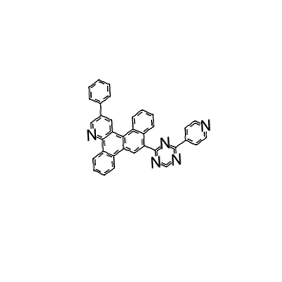 c1ccc(-c2cnc3c4ccccc4c4cc(-c5ncnc(-c6ccncc6)n5)c5ccccc5c4c3c2)cc1